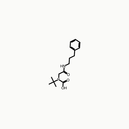 CC(C)(C)N(CC(=O)NCCCc1ccccc1)C(=O)O